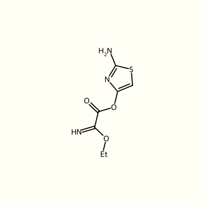 CCOC(=N)C(=O)Oc1csc(N)n1